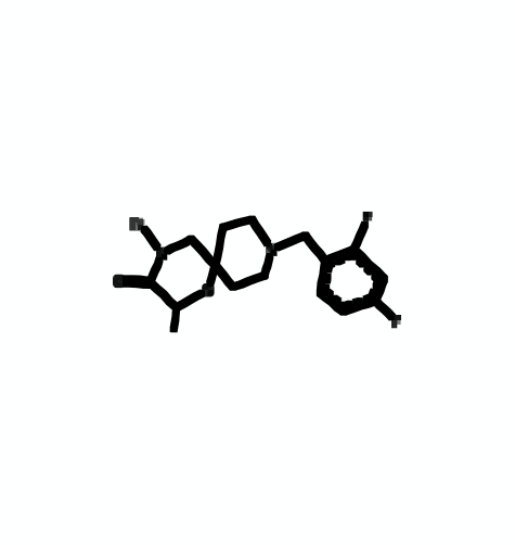 CCN1CC2(CCN(Cc3ccc(F)cc3F)CC2)OC(C)C1=O